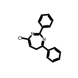 ClC1=CCC(c2ccccc2)=NC(c2ccccc2)=N1